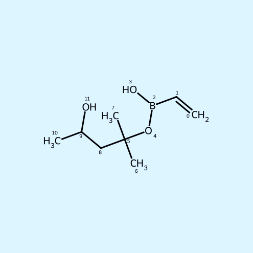 C=CB(O)OC(C)(C)CC(C)O